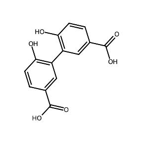 O=C(O)c1ccc(O)c(-c2cc(C(=O)O)ccc2O)c1